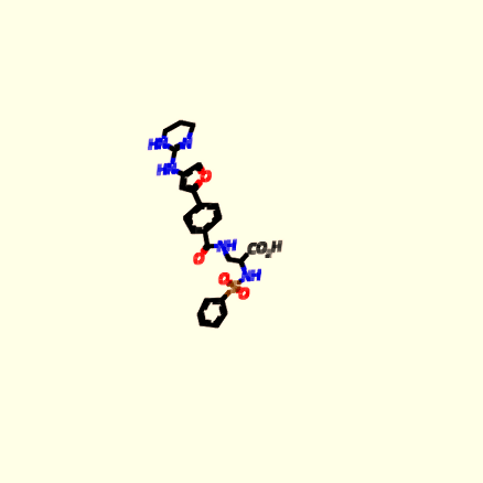 O=C(NCC(NS(=O)(=O)c1ccccc1)C(=O)O)c1ccc(-c2cc(NC3=NCCCN3)co2)cc1